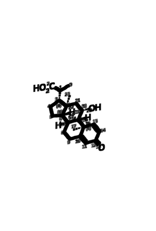 CC(C(=O)O)[C@H]1CC[C@H]2[C@@H]3CCC4=CC(=O)C=C[C@]4(C)[C@H]3[C@@H](O)C[C@]12C